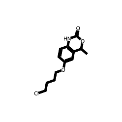 CC1OC(=O)Nc2ccc(OCCCCCl)cc21